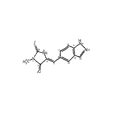 CN1C(=O)/C(=C/c2ccc3[nH]ncc3c2)NC1=S